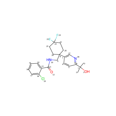 CC(C)(O)c1ccc(C2(CNC(=O)c3ccccc3Cl)CCC(F)(F)CC2)cn1